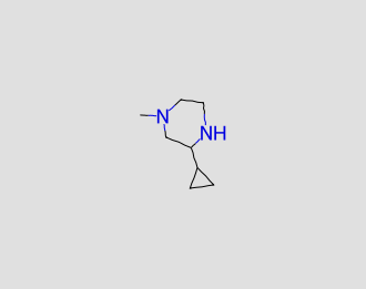 CN1CCNC(C2CC2)C1